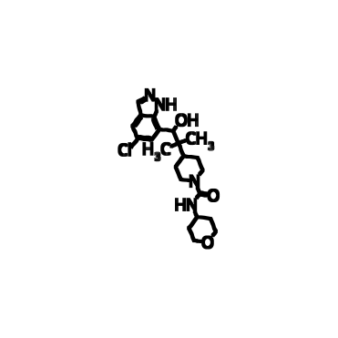 CC(C)(C1CCN(C(=O)NC2CCOCC2)CC1)C(O)c1cc(Cl)cc2cn[nH]c12